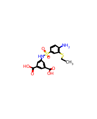 CCSc1cc(S(=O)(=O)Nc2cc(C(=O)O)cc(C(=O)O)c2)ccc1N